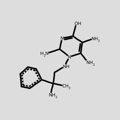 CC(N)(CNN1C(N)=C(N)C(O)=NC1N)c1ccccc1